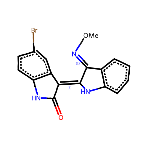 CO/N=C1/C(=C2/C(=O)Nc3ccc(Br)cc32)Nc2ccccc21